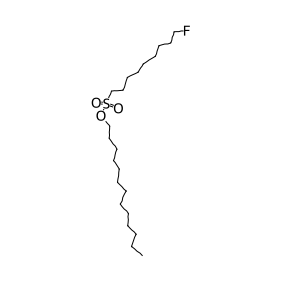 CCCCCCCCCCCCCOS(=O)(=O)CCCCCCCCCF